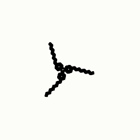 CCCCCCCCCc1ccc(P(c2ccc(CCCCCCCCC)cc2)c2ccc(CCCCCCCCC)cc2)cc1